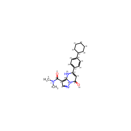 CN(C)C(=O)c1cnn2c(=O)cc(-c3ccc(C4CCCCC4)cc3)[nH]c12